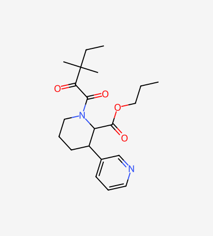 CCCOC(=O)C1C(c2cccnc2)CCCN1C(=O)C(=O)C(C)(C)CC